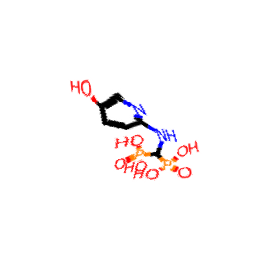 O=P(O)(O)C(Nc1ccc(O)cn1)P(=O)(O)O